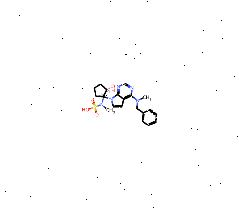 CN(Cc1ccccc1)c1ncnc2c1ccn2[C@]1(N(C)S(=O)(=O)O)CCC[C@@H]1O